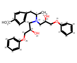 C[C@H](Cc1ccc(C(=O)O)cc1)N(C[C@@H](O)COc1ccccc1)C[C@@H](O)COc1ccccc1